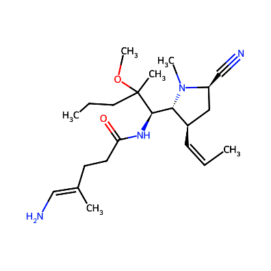 C/C=C\[C@@H]1C[C@H](C#N)N(C)[C@H]1[C@@H](NC(=O)CC/C(C)=C/N)C(C)(CCC)OC